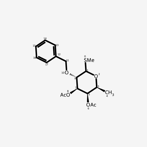 CSC1O[C@@H](C)[C@@H](OC(C)=O)[C@@H](OC(C)=O)[C@@H]1OCc1ccccc1